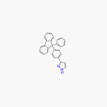 c1ccc(C2(c3ccc(-c4cc[nH]n4)cc3)c3ccccc3-c3ccccc32)cc1